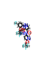 O=C(Nc1ccc(OCC(F)(F)F)nc1)c1ccnn(-c2ccc(F)cc2OCC(F)(F)F)c1=O